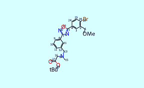 COCc1cc(-c2nc(-c3cccc(CN(C)CC(=O)OC(C)(C)C)c3)no2)ccc1Br